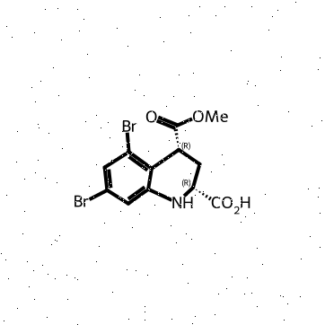 COC(=O)[C@@H]1C[C@H](C(=O)O)Nc2cc(Br)cc(Br)c21